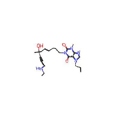 CCCn1cnc2c1c(=O)n(CCCCC(C)(O)C#CCNCC)c(=O)n2C